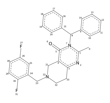 Cc1nc2c(c(=O)n1C(c1ccccc1)c1ccccc1)CN(Cc1cc(F)ccc1F)CC2